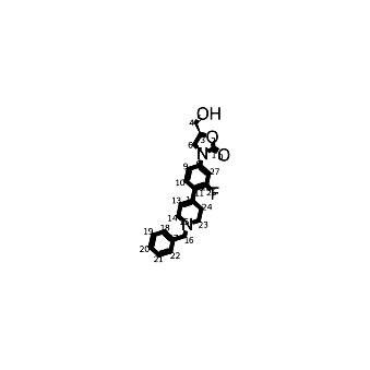 O=C1O[C@H](CO)CN1c1ccc(C2=CCN(Cc3ccccc3)CC2)c(F)c1